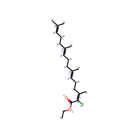 CCOC(=O)/C(F)=C(/C)CC/C=C(\C)CC/C=C(\C)CCC=C(C)C